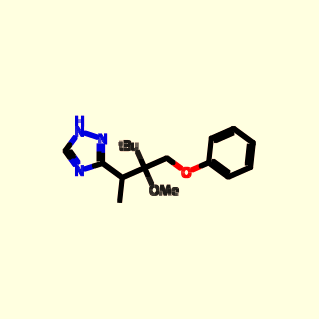 COC(COc1ccccc1)(C(C)c1nc[nH]n1)C(C)(C)C